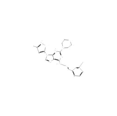 Cc1cccc(/C=N/Nc2nc(N3CCOCC3)nc3c2ncn3-c2cc(C)ns2)c1